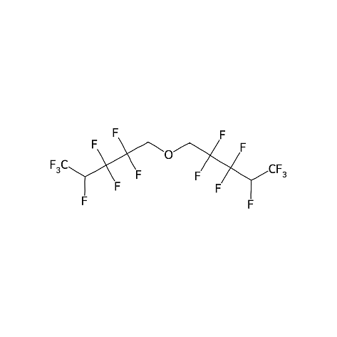 FC(C(F)(F)F)C(F)(F)C(F)(F)COCC(F)(F)C(F)(F)C(F)C(F)(F)F